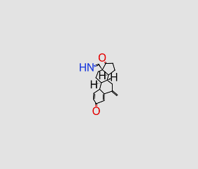 C=C1C[C@@H]2[C@H](CC[C@]3(C=N)C(=O)CC[C@@H]23)C2C=CC(=O)C=C12